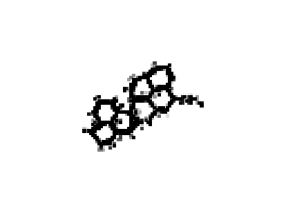 NC1=CC(N)c2cccc3ccc(C4C=Cc5cccc6cccc4c56)c1c23